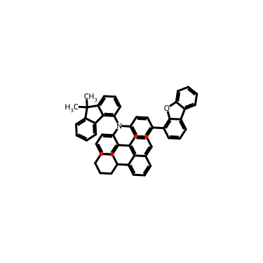 CC1(C)c2ccccc2-c2c(N(c3ccc(-c4cccc5c4oc4ccccc45)cc3)c3ccccc3-c3cccc4cccc(C5CCCCC5)c34)cccc21